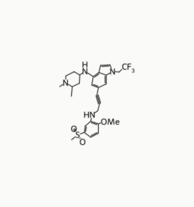 COc1ccc(S(C)(=O)=O)cc1NCC#Cc1cc(NC2CCN(C)C(C)C2)c2ccn(CC(F)(F)F)c2c1